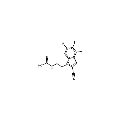 Cc1c(F)c(F)cc2c1cc(C#N)n2CCNC(=O)O